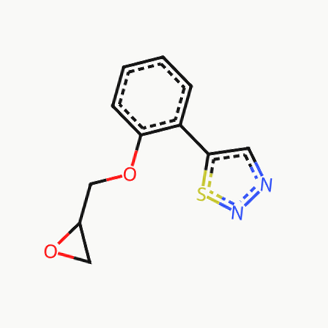 c1ccc(-c2cnns2)c(OCC2CO2)c1